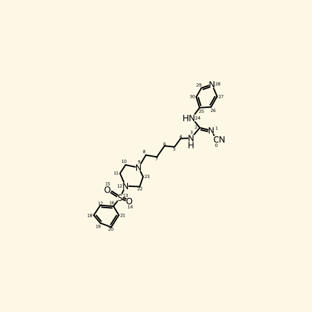 N#C/N=C(\NCCCCCN1CCN(S(=O)(=O)c2ccccc2)CC1)Nc1ccncc1